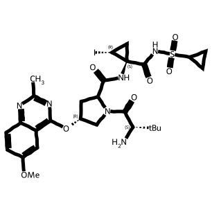 COc1ccc2nc(C)nc(O[C@@H]3CC(C(=O)N[C@]4(C(=O)NS(=O)(=O)C5CC5)C[C@H]4I)N(C(=O)[C@@H](N)C(C)(C)C)C3)c2c1